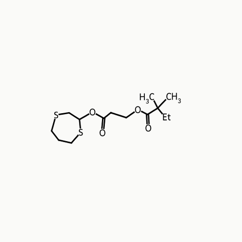 CCC(C)(C)C(=O)OCCC(=O)OC1CSCCCS1